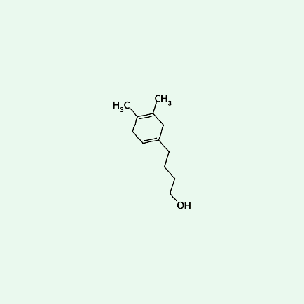 CC1=C(C)CC(CCCCO)=CC1